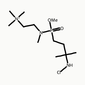 COP(=O)(CCC(C)(C)NCl)N(C)CC[N+](C)(C)C